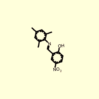 Cc1cc(C)c(/N=C/c2cc([N+](=O)[O-])ccc2O)c(C)c1